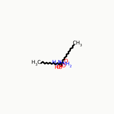 CCCCCCCCCCCC(=O)CC(N)C(N)(C(=O)O)C(=O)CCCCCCCCCCC